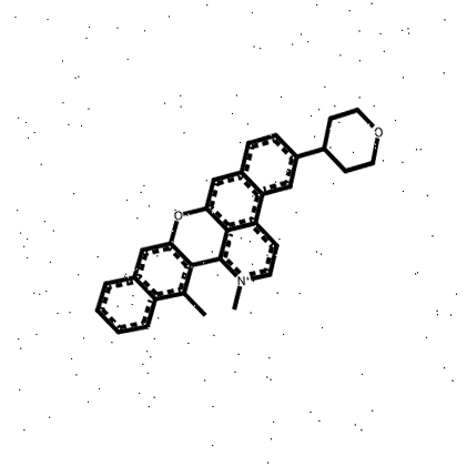 Cc1c2c(cc3ccccc13)Oc1cc3ccc(C4CCOCC4)cc3c3cc[n+](C)c-2c13